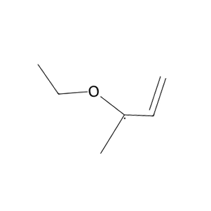 C=C[C](C)OCC